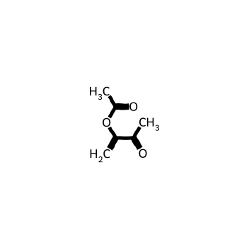 C=C(OC(C)=O)C(C)=O